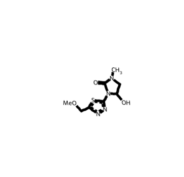 COCc1nnc(N2C(=O)N(C)CC2O)s1